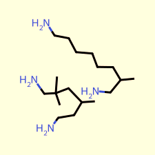 CC(CCN)CC(C)(C)CN.CC(CN)CCCCCCN